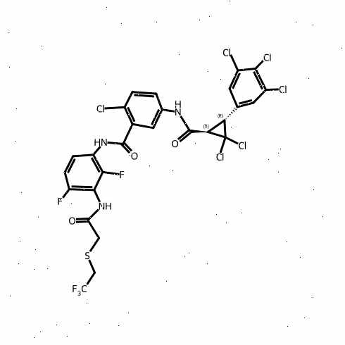 O=C(CSCC(F)(F)F)Nc1c(F)ccc(NC(=O)c2cc(NC(=O)[C@H]3[C@H](c4cc(Cl)c(Cl)c(Cl)c4)C3(Cl)Cl)ccc2Cl)c1F